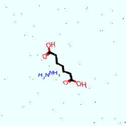 N.N.O=C(O)CCCCCC(=O)O